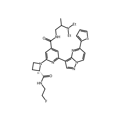 CCN(CC)C(C)CNC(=O)c1cc(-c2cnn3ccc(-c4cccs4)nc23)nc(N2CC[C@H]2C(=O)NCCF)c1